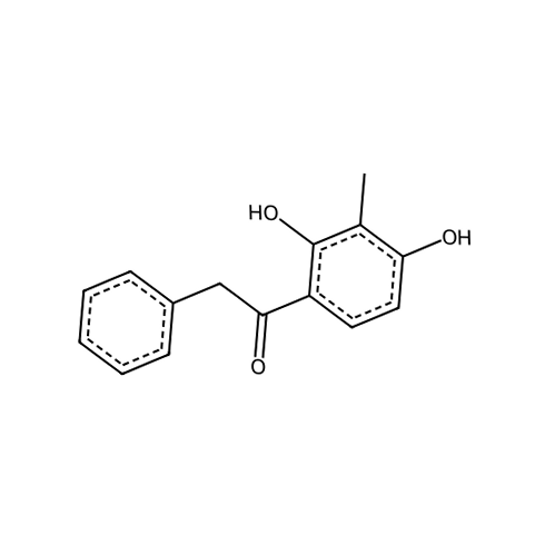 Cc1c(O)ccc(C(=O)Cc2ccccc2)c1O